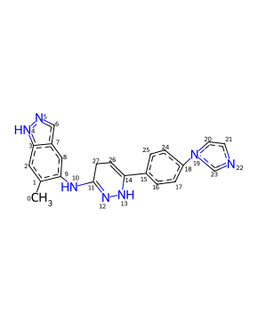 Cc1cc2[nH]ncc2cc1NC1=NNC(c2ccc(-n3ccnc3)cc2)=CC1